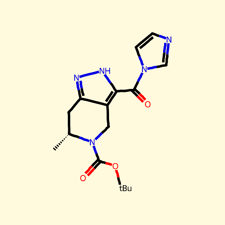 C[C@@H]1Cc2n[nH]c(C(=O)n3ccnc3)c2CN1C(=O)OC(C)(C)C